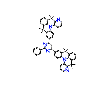 CC1(C)c2cc(-c3cc(-c4ccc5c(c4)C(C)(C)c4cccc6c4N5c4cccnc4C6(C)C)nc(-c4ccccc4)n3)ccc2N2c3cccnc3C(C)(C)c3cccc1c32